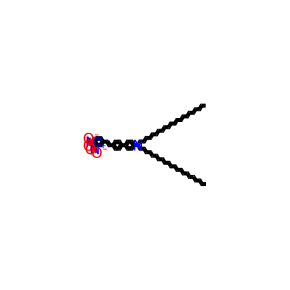 CCCCCCCCCCCCCCCCCCCCCCN(CCCCCCCCCCCCCCCCCCCCCC)c1ccc(-c2ccc(/C=C/c3ccc([N+](=O)[O-])c([N+](=O)[O-])c3)cc2)cc1